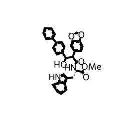 COC(=O)[C@H](Cc1c[nH]c2ccccc12)NC(=O)C(c1ccc2c(c1)OCO2)C(O)c1ccc(-c2ccccc2)cc1